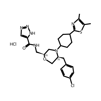 Cc1nc(C2CCC(N3C[C@H](CNC(=O)c4cnn[nH]4)OC[C@@H]3Cc3ccc(Cl)cc3)CC2)sc1C.Cl